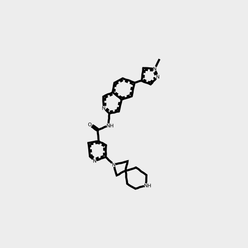 Cn1cc(-c2ccc3cnc(NC(=O)c4ccnc(N5CC6(CCNCC6)C5)c4)cc3c2)cn1